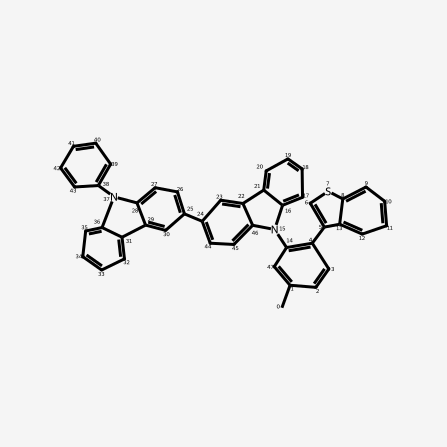 Cc1ccc(-c2csc3ccccc23)c(-n2c3ccccc3c3cc(-c4ccc5c(c4)c4ccccc4n5-c4ccccc4)ccc32)c1